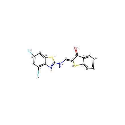 O=C1C(=CNc2nc3c(F)cc(F)cc3s2)Sc2ccccc21